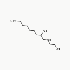 CCCCCCCCCCCCCCC(O)CNCCO